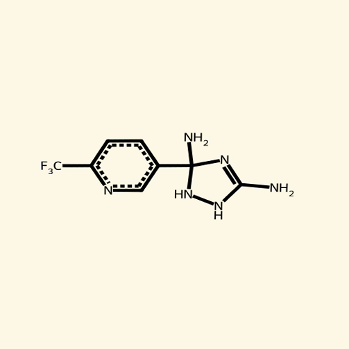 NC1=NC(N)(c2ccc(C(F)(F)F)nc2)NN1